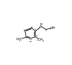 Cc1ccc(NCC(C)C)c(C)n1